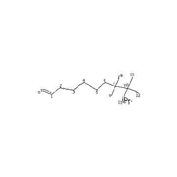 C=CCCCCCC(C)(C)C(C)(C)[C](C)C